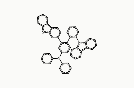 c1ccc(N(c2ccccc2)c2ccc(-c3ccccc3-n3c4ccccc4c4ccccc43)c(-c3ccc4c(c3)sc3ccccc34)c2)cc1